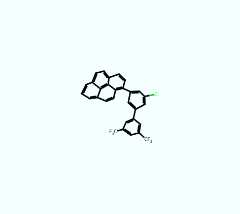 FC(F)(F)c1cc(-c2cc(Cl)cc(-c3ccc4ccc5cccc6ccc3c4c56)c2)cc(C(F)(F)F)c1